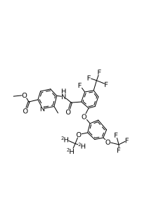 [2H]C([2H])([2H])Oc1cc(OC(F)(F)F)ccc1Oc1ccc(C(F)(F)F)c(F)c1C(=O)Nc1ccc(C(=O)OC)nc1C